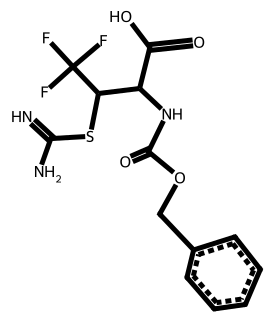 N=C(N)SC(C(NC(=O)OCc1ccccc1)C(=O)O)C(F)(F)F